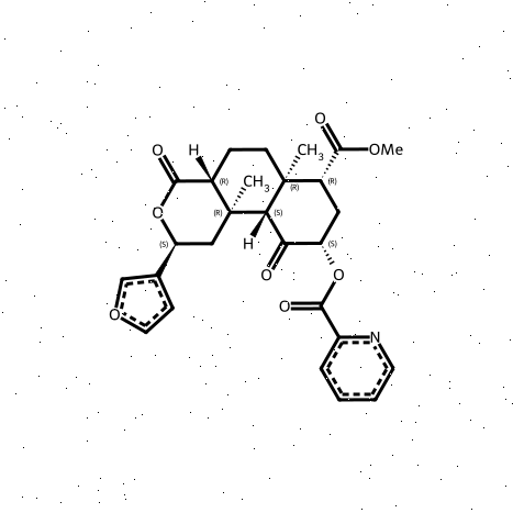 COC(=O)[C@@H]1C[C@H](OC(=O)c2ccccn2)C(=O)[C@H]2[C@@]1(C)CC[C@H]1C(=O)O[C@H](c3ccoc3)C[C@]21C